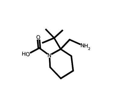 CC(C)(C)C1(CN)CCCCN1C(=O)O